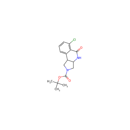 CC(C)(C)OC(=O)N1CC2NC(=O)c3c(Cl)cccc3C2C1